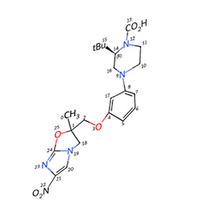 CC1(COc2cccc(N3CCN(C(=O)O)[C@H](C(C)(C)C)C3)c2)Cn2cc([N+](=O)[O-])nc2O1